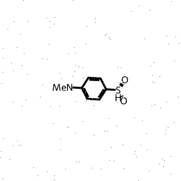 CNc1ccc([SH](=O)=O)cc1